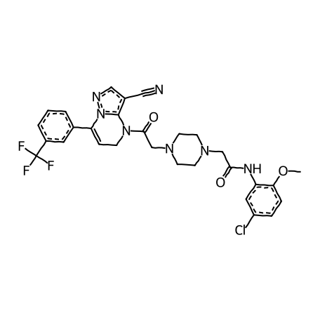 COc1ccc(Cl)cc1NC(=O)CN1CCN(CC(=O)N2CC=C(c3cccc(C(F)(F)F)c3)n3ncc(C#N)c32)CC1